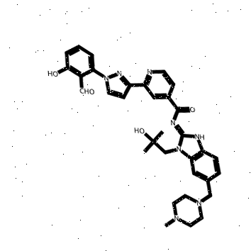 CN1CCN(Cc2ccc3[nH]/c(=N\C(=O)c4ccnc(-c5ccn(-c6cccc(O)c6C=O)n5)c4)n(CC(C)(C)O)c3c2)CC1